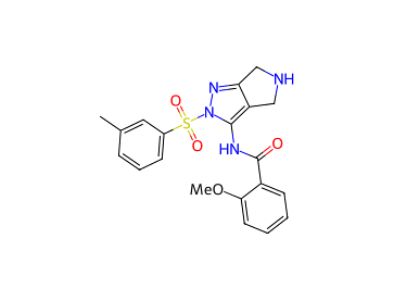 COc1ccccc1C(=O)Nc1c2c(nn1S(=O)(=O)c1cccc(C)c1)CNC2